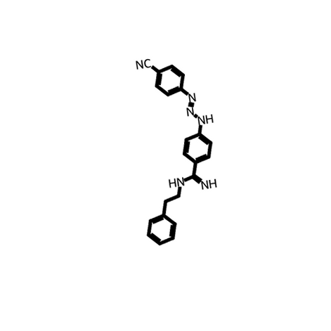 N#Cc1ccc(/N=N/Nc2ccc(C(=N)NCCc3ccccc3)cc2)cc1